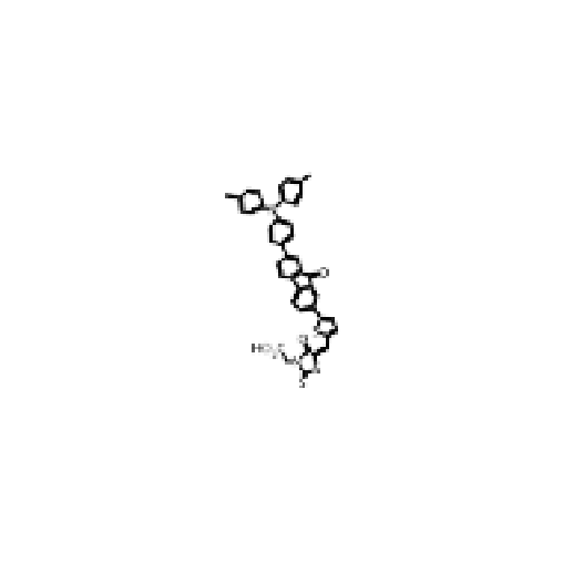 Cc1ccc(N(c2ccc(C)cc2)c2ccc(-c3ccc4c(c3)C(=O)c3cc(-c5ccc(C=C6SC(=S)N(CC(=O)O)C6=O)s5)ccc3-4)cc2)cc1